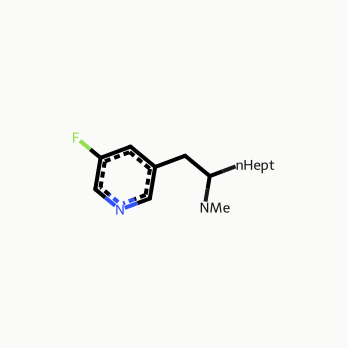 CCCCCCCC(Cc1cncc(F)c1)NC